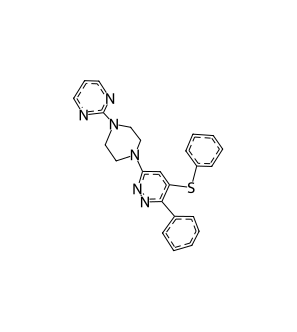 c1ccc(Sc2cc(N3CCN(c4ncccn4)CC3)nnc2-c2ccccc2)cc1